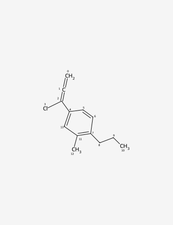 C=C=C(Cl)c1ccc(CCC)c(C)c1